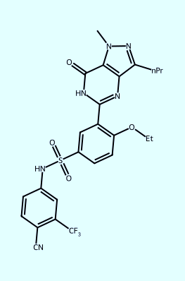 CCCc1nn(C)c2c(=O)[nH]c(-c3cc(S(=O)(=O)Nc4ccc(C#N)c(C(F)(F)F)c4)ccc3OCC)nc12